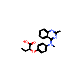 CCC(Oc1ccc(N(C)c2nc(C)nc3ccccc23)cc1)C(=O)O